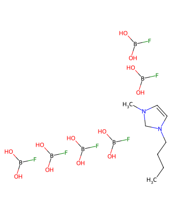 CCCCN1C=CN(C)C1.OB(O)F.OB(O)F.OB(O)F.OB(O)F.OB(O)F.OB(O)F